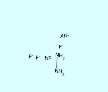 F.NN.[Al+3].[F-].[F-].[F-]